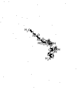 C=CCSCCNC(=O)CCNC(=O)[C@H](O)C(C)(C)COP(=O)(O)OP(=O)(O)OC[C@H]1O[C@@H](n2cnc3c(N)ncnc32)[C@H](O)[C@@H]1OP(=O)(O)O